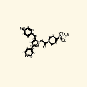 CCN(C(=O)O)C1CCN(C(=O)Cn2nc(-c3ccncc3)cc2Cc2ccc(F)cc2)CC1